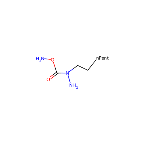 CCCCCCCN(N)C(=O)ON